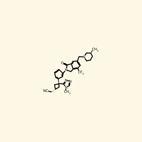 C[C@H]1CCCN(Cc2cc3c(c(C(F)(F)F)c2)CN(c2cccc([C@]4(c5nncn5C)C[C@@H](CC#N)C4)c2)C3=O)C1